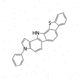 c1ccc(-n2ccc3c4[nH]c5c(ccc6c7ccccc7sc65)c4ccc32)cc1